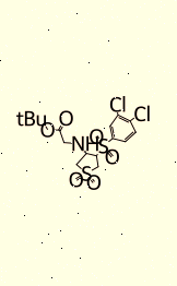 CC(C)(C)OC(=O)CN[C@@H]1CS(=O)(=O)C[C@H]1S(=O)(=O)c1ccc(Cl)c(Cl)c1